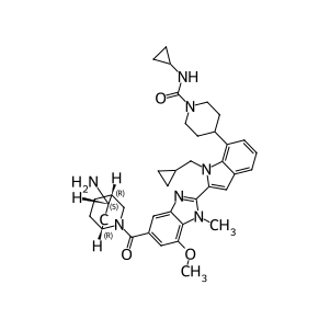 COc1cc(C(=O)N2C[C@H]3CC[C@@H]2C[C@@H]3N)cc2nc(-c3cc4cccc(C5CCN(C(=O)NC6CC6)CC5)c4n3CC3CC3)n(C)c12